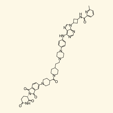 Cc1cccc(C(=O)NC2CC(n3cnc4c(Nc5ccc(N6CCN(CCC7CCN(C(=O)C8CCN(c9ccc%10c(c9)C(=O)N([C@H]9CCC(=O)NC9=O)C%10=O)CC8)CC7)CC6)cc5)ncnc43)C2)n1